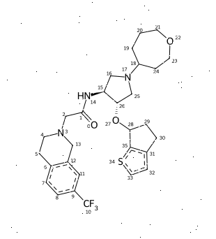 O=C(CN1CCc2ccc(C(F)(F)F)cc2C1)N[C@H]1CN(C2CCCOCC2)C[C@@H]1OC1CCc2ccsc21